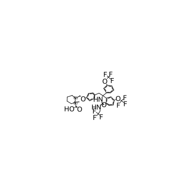 C[C@@]1(C(=O)O)CCCC[C@H]1COc1ccc(CC(NC(=O)NCC(F)(F)F)(c2cccc(OC(F)(F)F)c2)c2cccc(OC(F)(F)F)c2)cc1